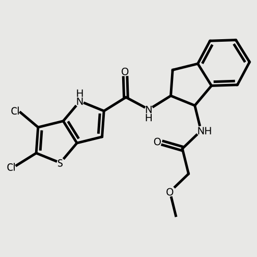 COCC(=O)NC1c2ccccc2CC1NC(=O)c1cc2sc(Cl)c(Cl)c2[nH]1